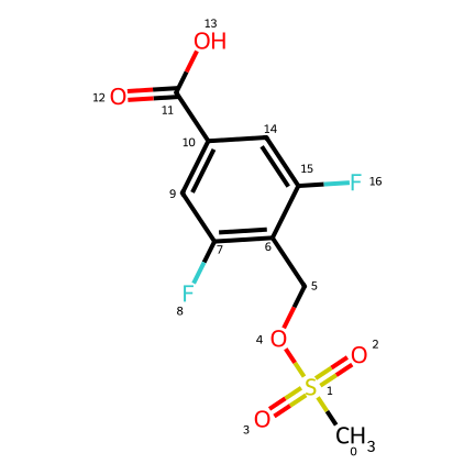 CS(=O)(=O)OCc1c(F)cc(C(=O)O)cc1F